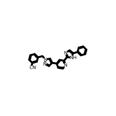 N#Cc1cccc(Cn2cc(-c3ccnc(-c4ncc(-c5ccccc5)[nH]4)c3)cn2)c1